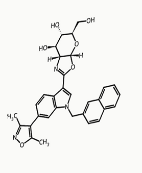 Cc1noc(C)c1-c1ccc2c(C3=N[C@H]4[C@@H](O3)O[C@H](CO)[C@@H](O)[C@@H]4O)cn(Cc3ccc4ccccc4c3)c2c1